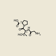 C[C@@H](O)[C@H](NC(=O)CN)C(=O)N1CCC[C@H]1C(=O)O